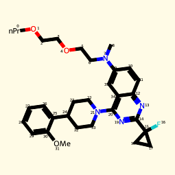 CCCOCCOCCN(C)c1ccc2nc(C3(F)CC3)nc(N3CCC(c4ccccc4OC)CC3)c2c1